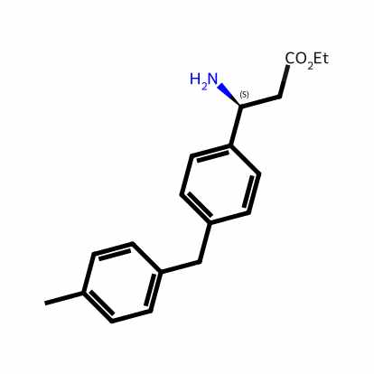 CCOC(=O)C[C@H](N)c1ccc(Cc2ccc(C)cc2)cc1